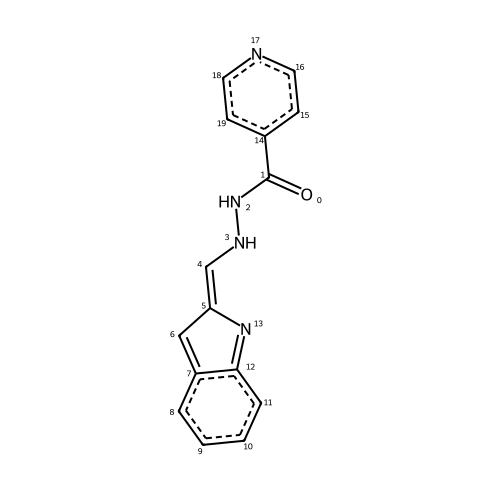 O=C(NNC=C1C=c2ccccc2=N1)c1ccncc1